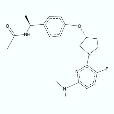 CC(=O)N[C@@H](C)c1ccc(O[C@@H]2CCN(c3nc(N(C)C)ccc3F)C2)cc1